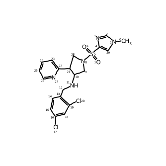 Cn1cnc(S(=O)(=O)N2CC(NCc3ccc(Cl)cc3Cl)C(c3ccccn3)C2)c1